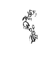 Cc1cc2ncc3cc(-c4ccccc4)c(-c4ccc(CN5CCC(c6nnc(-c7ccc(C(F)(F)F)nc7)[nH]6)CC5)cc4)nc3n2n1